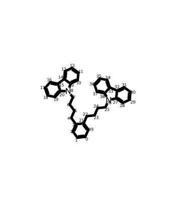 c1ccc(CCCCn2c3ccccc3c3ccccc32)c(CCCCn2c3ccccc3c3ccccc32)c1